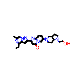 CCc1nc(C)cn2nc(-c3cc(=O)n4cc(N5CCC6C(CCN6CCO)C5)ccc4n3)cc12